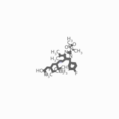 CC(C)c1nc(N(C)S(C)(=O)=O)nc(-c2ccc(F)cc2)c1/C=C/C(CC(CC(=O)O)C(C)C)C(C)(C)C